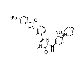 Cc1c(NC(=O)c2ccc(C(C)(C)C)cc2)cccc1-c1cn(C)c(=O)c(Nc2ccc(N3CCOCC3)c([N+](=O)[O-])c2)n1